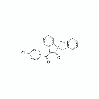 O=C(c1ccc(Cl)cc1)N1C(=O)C(O)(Cc2ccccc2)c2ccccc21